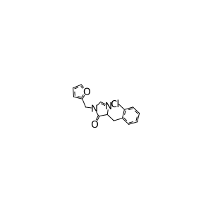 O=C1C(Cc2ccccc2Cl)N=CN1Cc1ccco1